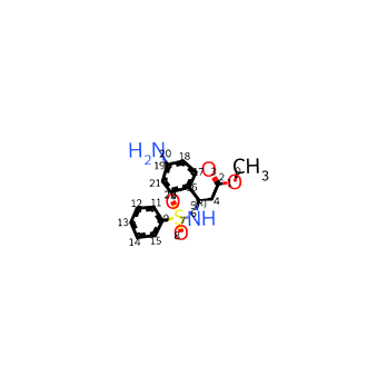 COC(=O)C[C@@H](NS(=O)(=O)c1ccccc1)c1ccc(N)cc1